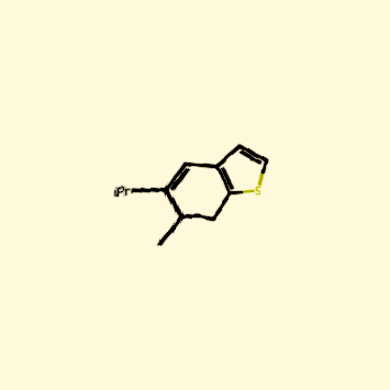 CC(C)C1=Cc2ccsc2CC1C